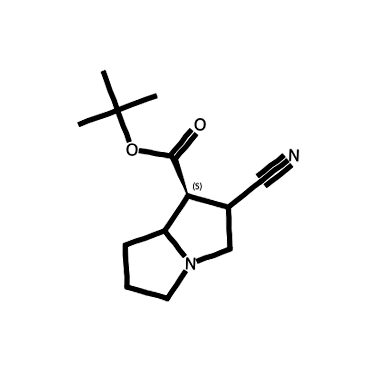 CC(C)(C)OC(=O)[C@H]1C(C#N)CN2CCCC12